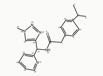 CC(C)c1ccc(CC(=O)NC(c2ccccn2)c2cn(C)nn2)cc1